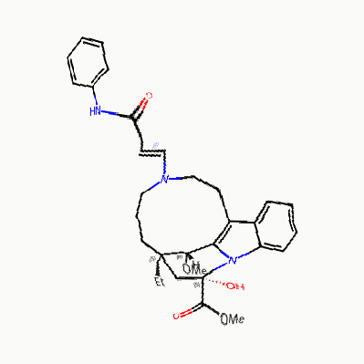 CC[C@]12CCCN(/C=C/C(=O)Nc3ccccc3)CCc3c(n(c4ccccc34)[C@@](O)(C(=O)OC)C1)[C@@H]2OC